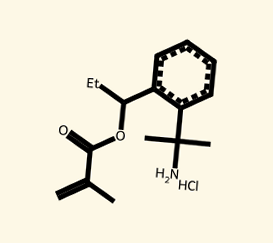 C=C(C)C(=O)OC(CC)c1ccccc1C(C)(C)N.Cl